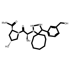 CNC(=O)[C@@H]1C[C@@H](O)CN1C(=O)[C@@H](N1NNC(c2cccc(CO)c2)C12CCCCCCC2)C(C)(C)C